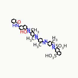 Cc1cc(N=Nc2cc(C)c(N=Nc3ccc4cc(NC(=O)c5ccccc5)ccc4c3O)cc2C)ccc1N=Nc1ccc(N=Nc2cc3c(S(=O)(=O)O)cccc3cc2S(=O)(=O)O)c(C)c1